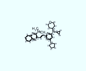 CN(C)c1nc2ccccc2nc1/C=C/c1nc(N2CCCC2)cc(N(C2CCOCC2)C2CC2)n1